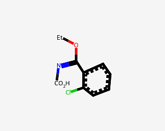 CCO/C(=N/C(=O)O)c1ccccc1Cl